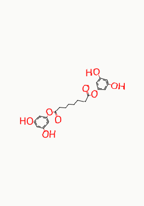 O=C(CCCCCCC(=O)Oc1cc(O)cc(O)c1)Oc1cc(O)cc(O)c1